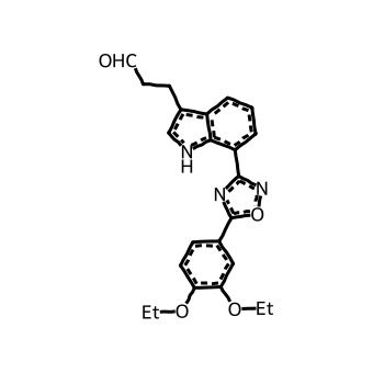 CCOc1ccc(-c2nc(-c3cccc4c(CCC=O)c[nH]c34)no2)cc1OCC